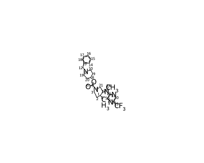 C[C@H]1CCN(C(=O)OC2CCN(Cc3ccccc3)CC2)C[C@@H]1N(C)c1cnc(C(F)(F)F)cn1